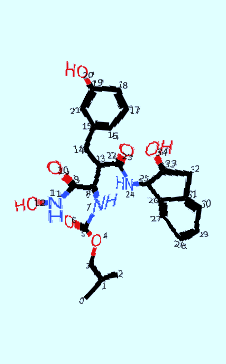 CC(C)COC(=O)NC(C(=O)NO)C(Cc1cccc(O)c1)C(=O)NC1c2ccccc2CC1O